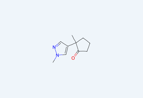 Cn1cc(C2(C)CCCC2=O)cn1